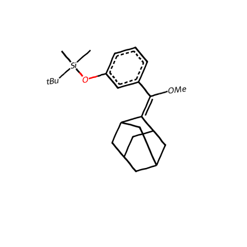 COC(=C1C2CC3CC(C2)CC1C3)c1cccc(O[Si](C)(C)C(C)(C)C)c1